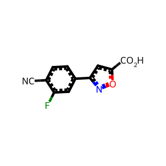 N#Cc1ccc(-c2cc(C(=O)O)on2)cc1F